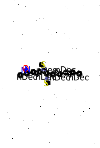 CCCCCCCCCCC1(CCCCCCCCCC)c2cc(-c3ccccc3)ccc2-c2ccc(-c3ccc4c(c3)C(CCCCCCCCCC)(CCCCCCCCCC)c3cc(-c5cc(/C=C/c6cccs6)c(-c6ccc7c(c6)C(CCCCCCCCCC)(CCCCCCCCCC)c6cc(-c8ccc(-c9ccccc9)c9nonc89)ccc6-7)cc5/C=C/c5cccs5)ccc3-4)cc21